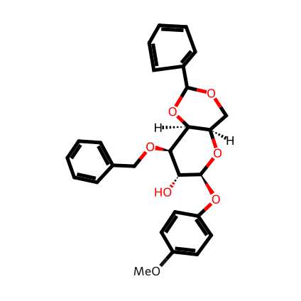 COc1ccc(O[C@@H]2O[C@@H]3COC(c4ccccc4)O[C@@H]3[C@H](OCc3ccccc3)[C@H]2O)cc1